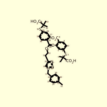 CC(C)(Sc1ccc(C(=O)O)cc1)C(=O)O.Cc1ccc(Cn2cc(CCOC(=O)c3ccc(SC(C)(C)C(=O)O)cc3)nn2)cc1